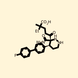 CCC(C)(CCC(=O)[C@@]1(C(=O)NC)NNCC[C@H]1c1ccc(-c2ccc(F)cc2)cc1)C(=O)O